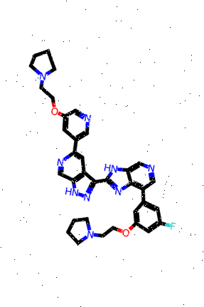 Fc1cc(OCCN2CCCC2)cc(-c2cncc3[nH]c(-c4n[nH]c5cnc(-c6cncc(OCCN7CCCC7)c6)cc45)nc23)c1